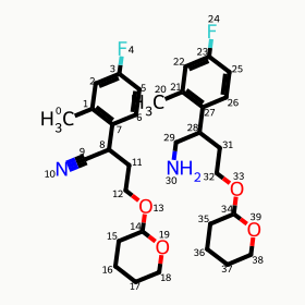 Cc1cc(F)ccc1C(C#N)CCOC1CCCCO1.Cc1cc(F)ccc1C(CN)CCOC1CCCCO1